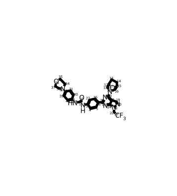 O=C(Nc1ccc(-c2nc(N3CC4CCC(C3)O4)c3cnn(CC(F)(F)F)c3n2)cc1)Nc1ccc(N2CCOCC2)cc1